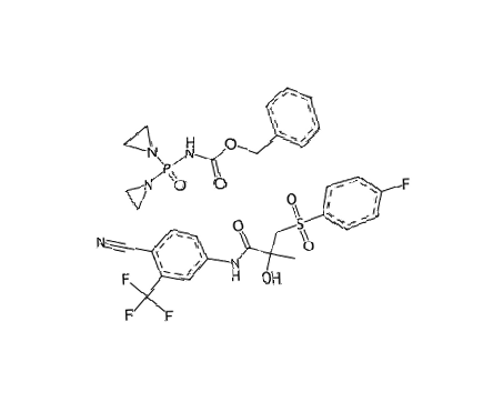 CC(O)(CS(=O)(=O)c1ccc(F)cc1)C(=O)Nc1ccc(C#N)c(C(F)(F)F)c1.O=C(NP(=O)(N1CC1)N1CC1)OCc1ccccc1